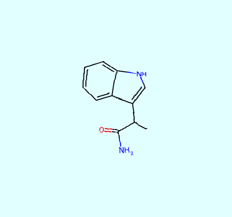 C[C](C(N)=O)c1c[nH]c2ccccc12